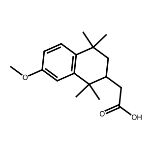 COc1ccc2c(c1)C(C)(C)C(CC(=O)O)CC2(C)C